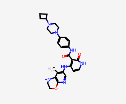 Cc1c(Nc2cc[nH]c(=O)c2C(=O)Nc2ccc(N3CCN(C4CCC4)CC3)cc2)cnc2c1NCCO2